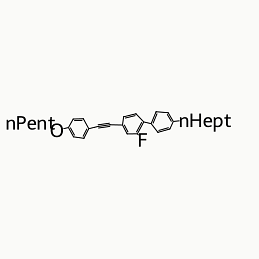 CCCCCCCc1ccc(-c2ccc(C#Cc3ccc(OCCCCC)cc3)cc2F)cc1